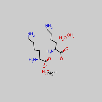 NCCCC[C@H](N)C(=O)[O-].NCCCC[C@H](N)C(=O)[O-].O.O.O.[Mg+2]